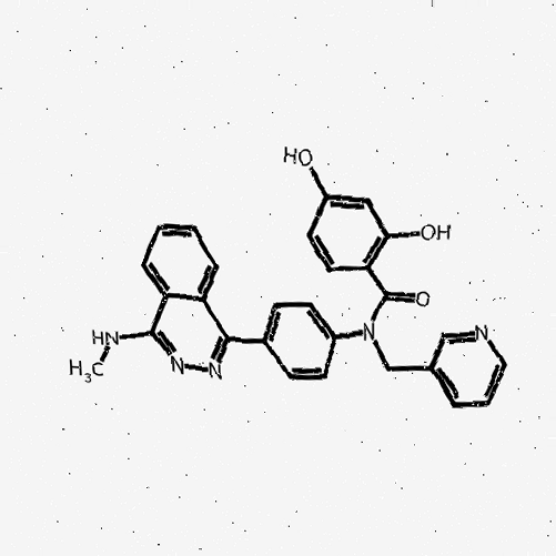 CNc1nnc(-c2ccc(N(Cc3cccnc3)C(=O)c3ccc(O)cc3O)cc2)c2ccccc12